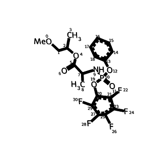 COCC(C)OC(=O)C(C)N[P@](=O)(Oc1ccccc1)Oc1c(F)c(F)c(F)c(F)c1F